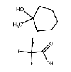 CC1(O)CCCCC1.O=C(O)C(F)(F)F